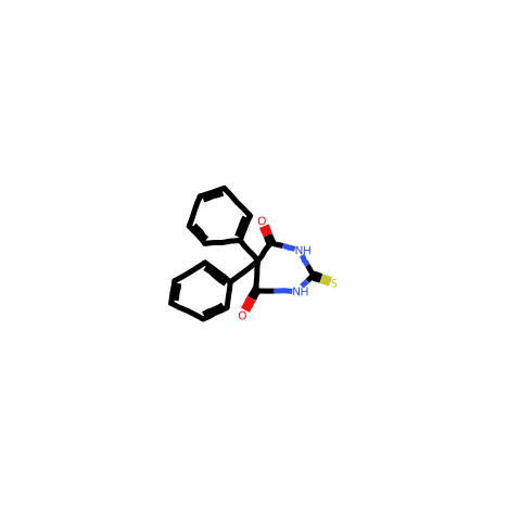 O=C1NC(=S)NC(=O)C1(c1ccccc1)c1ccccc1